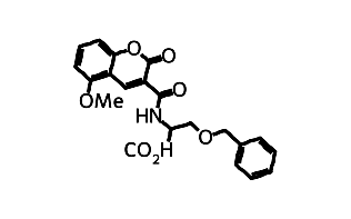 COc1cccc2oc(=O)c(C(=O)NC(COCc3ccccc3)C(=O)O)cc12